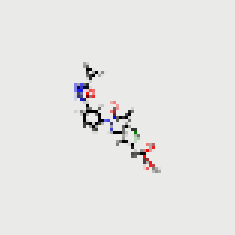 C=C(CCF)C(=O)N(CCCCCC(=O)OC)c1cccc(-c2nnc(C3CC3)o2)c1